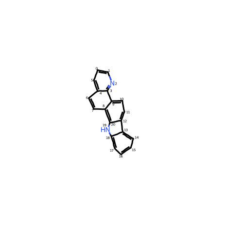 c1cnc2c(c1)ccc1c2ccc2c3ccccc3[nH]c21